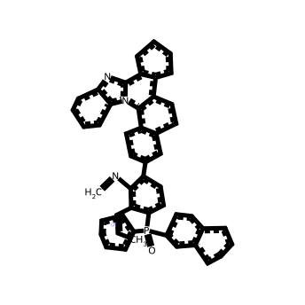 C=Nc1c(-c2ccc3c(ccc4c5ccccc5c5nc6ccccc6n5c34)c2)ccc(P(=O)(c2ccccc2)c2ccc3ccccc3c2)c1/C=C\C